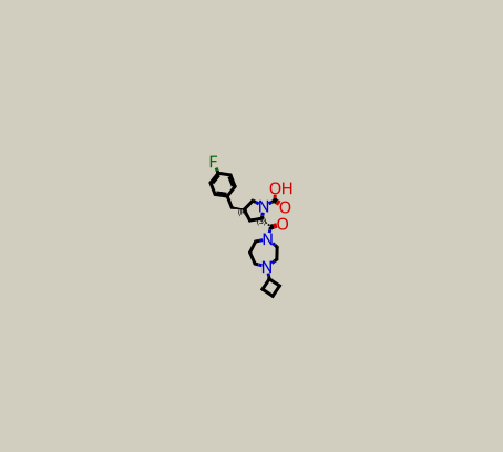 O=C([C@@H]1C[C@@H](Cc2ccc(F)cc2)CN1C(=O)O)N1CCCN(C2CCC2)CC1